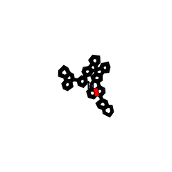 c1ccc(N(c2ccc(-c3cc4ccccc4c4ccccc34)cc2)c2cc3c(cc2-c2ccc(-c4ccc5c(c4)CCCC5)cc2)-c2ccccc2C32c3ccccc3-c3ccccc32)cc1